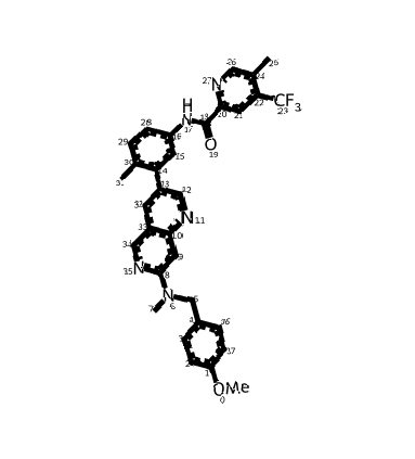 COc1ccc(CN(C)c2cc3ncc(-c4cc(NC(=O)c5cc(C(F)(F)F)c(C)cn5)ccc4C)cc3cn2)cc1